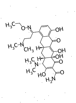 CCO/N=C(\CCN(C)C)c1ccc(O)c2c1C[C@H]1C[C@H]3[C@@H](N(C)C)C(O)=C(C(N)=O)C(=O)[C@@]3(O)C(O)=C1C2=O